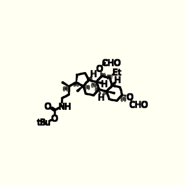 CC[C@H]1[C@@H](OC=O)[C@@H]2[C@H](CC[C@]3(C)[C@@H]([C@H](C)CCNC(=O)OC(C)(C)C)CC[C@@H]23)[C@@]2(C)CC[C@@H](OC=O)C[C@@H]12